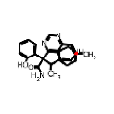 Cc1ccc2c(C(C(N)=O)(c3ccccc3O)C(C)C3CCNCC3)ncnc2c1